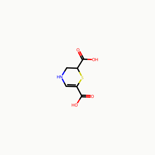 O=C(O)C1=CNCC(C(=O)O)S1